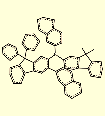 CC1(C)c2ccccc2-c2ccc(N(c3ccc4ccccc4c3)c3cc4c(cc3-c3ccc5ccccc5c3)-c3ccccc3C4(c3ccccc3)c3ccccc3)cc21